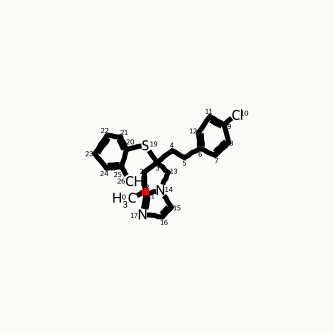 CCCC(CCc1ccc(Cl)cc1)(Cn1ccnc1)Sc1ccccc1C